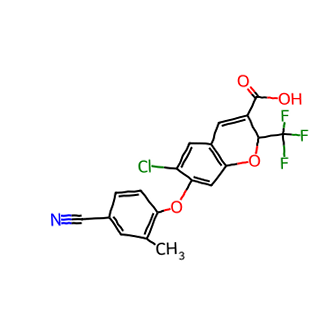 Cc1cc(C#N)ccc1Oc1cc2c(cc1Cl)C=C(C(=O)O)C(C(F)(F)F)O2